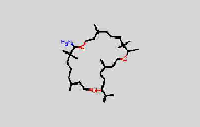 C=C(C)CCCC(C)CCOC(C)C(C)(C)CCCC(C)CCOC(N)C(C)(C)CCCC(C)CCO